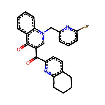 O=C(c1ccc2c(n1)CCCC2)c1cn(Cc2cccc(Br)n2)c2ccccc2c1=O